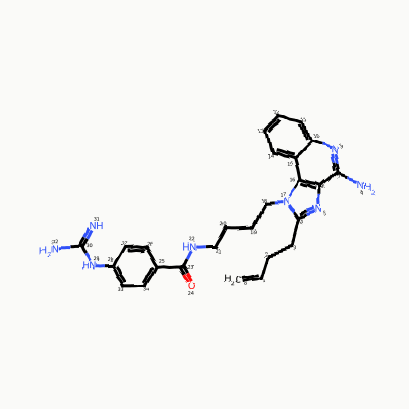 C=CCCc1nc2c(N)nc3ccccc3c2n1CCCCNC(=O)c1ccc(NC(=N)N)cc1